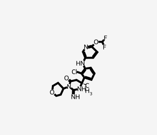 C[C@@]1(c2cccc(Nc3ccc(OC(F)F)nc3)c2Cl)CC(=O)N(C2CCOCC2)C(=N)N1